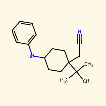 CC(C)(C)C1(CC#N)CCC(Nc2ccccc2)CC1